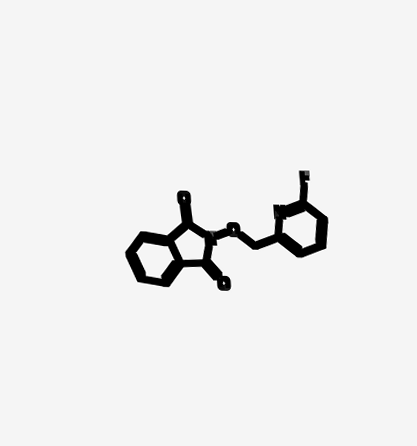 O=C1c2ccccc2C(=O)N1OCc1cccc(F)n1